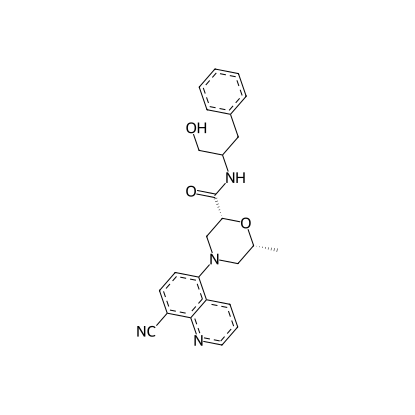 C[C@@H]1CN(c2ccc(C#N)c3ncccc23)C[C@H](C(=O)NC(CO)Cc2ccccc2)O1